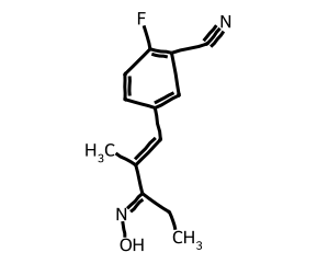 CCC(=N\O)/C(C)=C/c1ccc(F)c(C#N)c1